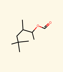 CC(CC(C)(C)C)C(C)OC=O